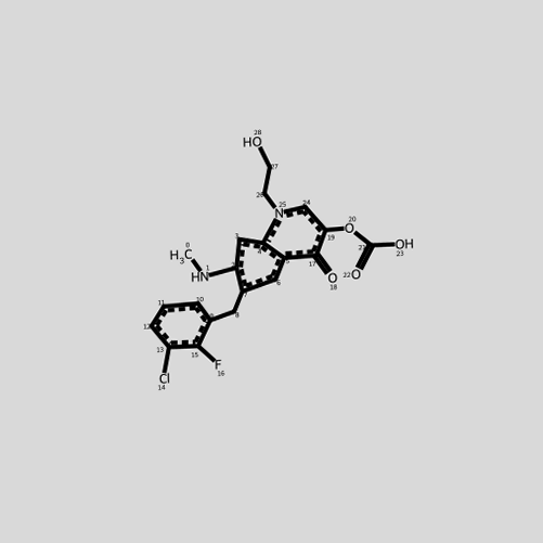 CNc1cc2c(cc1Cc1cccc(Cl)c1F)c(=O)c(OC(=O)O)cn2CCO